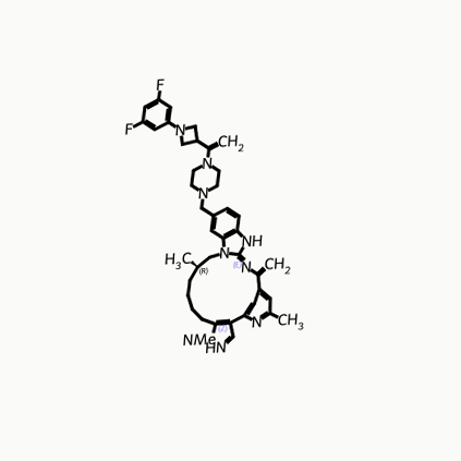 C=C1/N=C2\Nc3ccc(CN4CCN(C(=C)C5CN(c6cc(F)cc(F)c6)C5)CC4)cc3N2C[C@H](C)CCCC/C(NC)=C(/C=N)c2cc1cc(C)n2